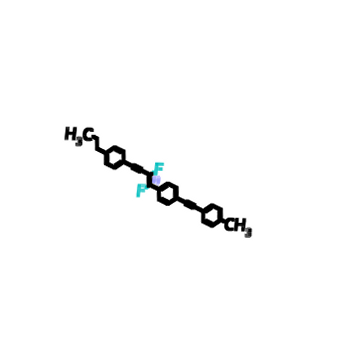 CCCc1ccc(C#C/C(F)=C(\F)c2ccc(C#Cc3ccc(C)cc3)cc2)cc1